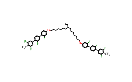 C=CC(CCCCCCCOc1ccc(-c2ccc(-c3cc(F)c(C(F)(F)F)c(F)c3)c(F)c2)c(F)c1)CCCCCCCOc1ccc(-c2ccc(-c3cc(F)c(C(F)(F)F)c(F)c3)c(F)c2)c(F)c1